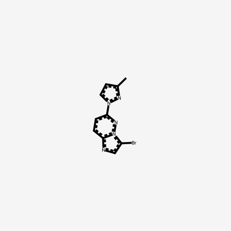 Cc1ccn(-c2ccc3ncc(Br)n3n2)n1